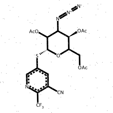 CC(=O)OCC1O[C@H](Sc2cnc(C(F)(F)F)c(C#N)c2)C(OC(C)=O)C(N=[N+]=[N-])[C@H]1OC(C)=O